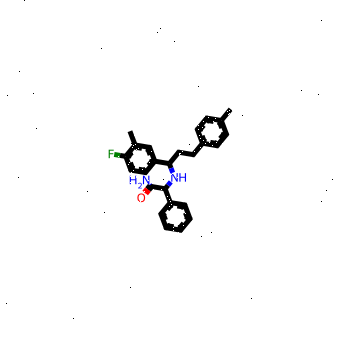 Cc1ccc(CCC(NC(C(N)=O)c2ccccc2)c2ccc(F)c(C)c2)cc1